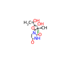 C#C[C@@]1(F)C(O)[C@@H]([C@H](C)O)O[C@H]1n1ccc(=O)[nH]c1=O